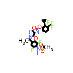 C[C@@H](NC(=O)C1COC(Oc2cccc(C(F)(F)F)c2C2CC2)=N1)c1cc(F)c(NS(C)(=O)=O)c(F)c1